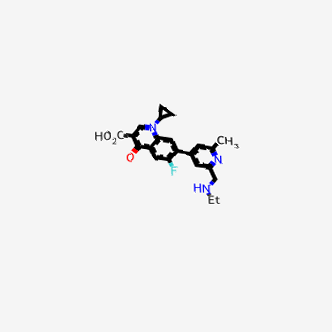 CCNCc1cc(-c2cc3c(cc2F)c(=O)c(C(=O)O)cn3C2CC2)cc(C)n1